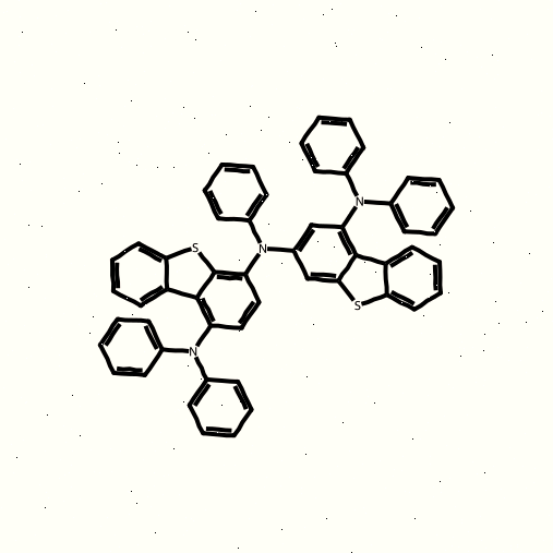 c1ccc(N(c2cc(N(c3ccccc3)c3ccccc3)c3c(c2)sc2ccccc23)c2ccc(N(c3ccccc3)c3ccccc3)c3c2sc2ccccc23)cc1